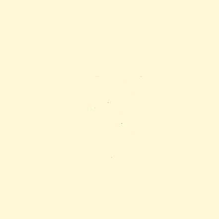 CCC(C)C(C(=O)OC(C)(C)C(C)(C)C)C(C)(C)C